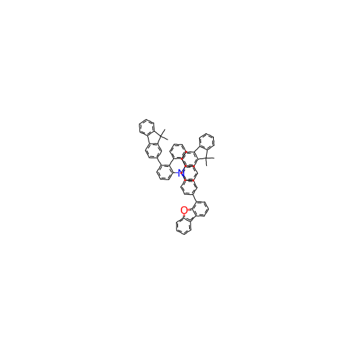 CC1(C)c2ccccc2-c2ccc(-c3cccc(N(c4ccc(-c5cccc6c5oc5ccccc56)cc4)c4ccc5c(c4)C(C)(C)c4ccccc4-5)c3-c3ccccc3-c3ccccc3)cc21